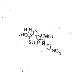 Nc1ccc2c(O)c(N=Nc3ccc([N+](=O)[O-])cc3)c(S(=O)(=O)O)cc2c1S(=O)(=O)O.[NaH]